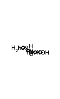 Nc1ccc(Oc2ccnc(NC(=O)N3CCC(N4CCC(O)CC4)CC3)c2)cc1